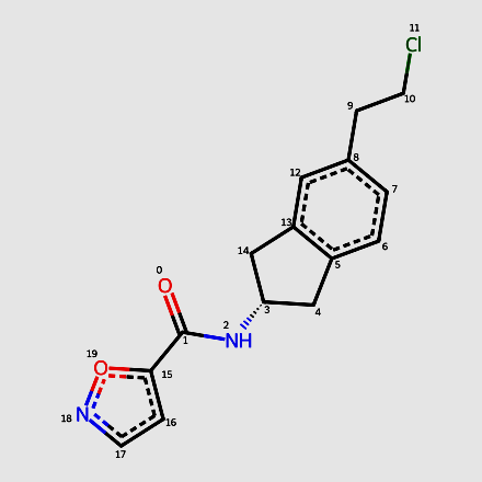 O=C(N[C@H]1Cc2ccc(CCCl)cc2C1)c1ccno1